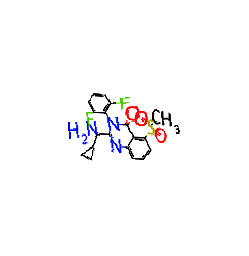 CS(=O)(=O)c1cccc2nc(C(N)C3CC3)n(-c3c(F)cccc3F)c(=O)c12